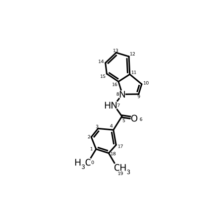 Cc1ccc(C(=O)Nn2ccc3ccccc32)cc1C